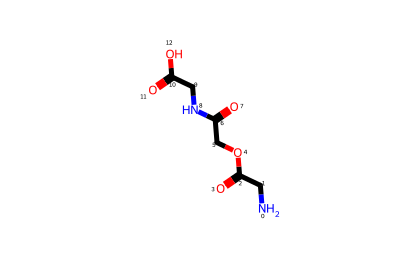 NCC(=O)OCC(=O)NCC(=O)O